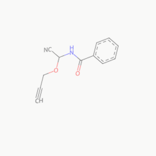 C#CCOC(C#N)NC(=O)c1ccccc1